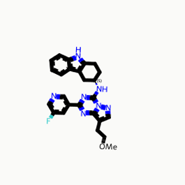 COCCc1cnn2c(N[C@H]3CCc4[nH]c5ccccc5c4C3)nc(-c3cncc(F)c3)nc12